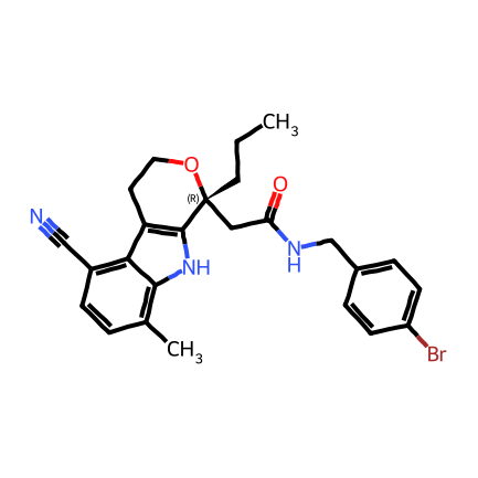 CCC[C@]1(CC(=O)NCc2ccc(Br)cc2)OCCc2c1[nH]c1c(C)ccc(C#N)c21